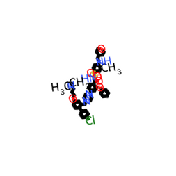 Cc1cc(S(=O)(=O)NC(=O)c2ccc(N3CCN(Cc4cc(OCCCN(C)C)ccc4-c4ccc(Cl)cc4)CC3)cc2Oc2ccccc2)ccc1NCC1CCOCC1